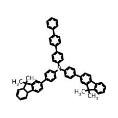 CC1(C)c2ccccc2-c2ccc(-c3ccc(N(c4ccc(-c5ccc(-c6ccccc6)cc5)cc4)c4ccc(-c5ccc6c(c5)C(C)(C)C5C=CC=CC65)cc4)cc3)cc21